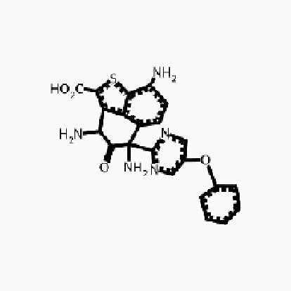 Nc1ccc2c3c(c(C(=O)O)sc13)C(N)C(=O)C2(N)c1ncc(Oc2ccccc2)cn1